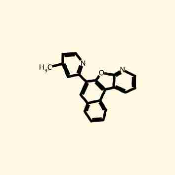 Cc1ccnc(-c2cc3ccccc3c3c2oc2ncccc23)c1